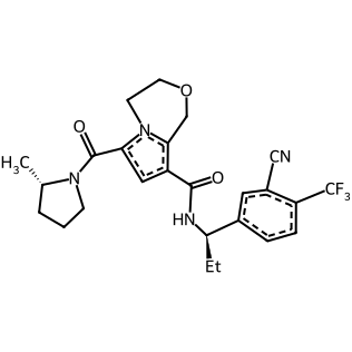 CC[C@@H](NC(=O)c1cc(C(=O)N2CCC[C@@H]2C)n2c1COCC2)c1ccc(C(F)(F)F)c(C#N)c1